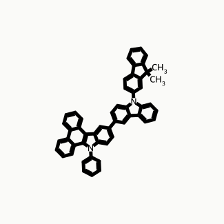 CC1(C)c2ccccc2-c2ccc(-n3c4ccccc4c4cc(-c5ccc6c(c5)c5c7ccccc7c7ccccc7c5n6-c5ccccc5)ccc43)cc21